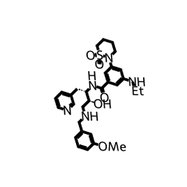 CCNc1cc(C(=O)N[C@@H](Cc2cccnc2)[C@H](O)CNCc2cccc(OC)c2)cc(N2CCCCS2(=O)=O)c1